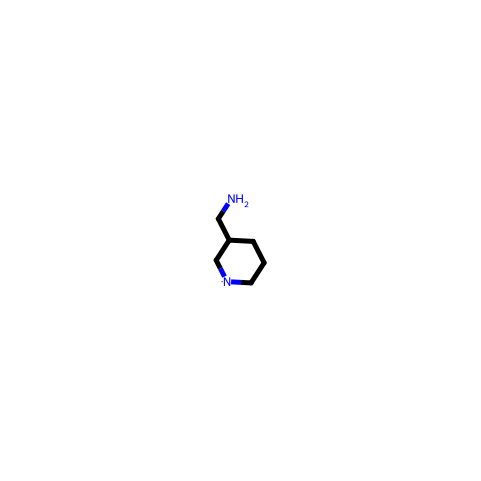 NCC1CCC[N]C1